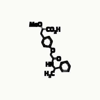 CO[C@@H](Cc1ccc(OCC(=O)NC(C)c2ccccc2)cc1)C(=O)O